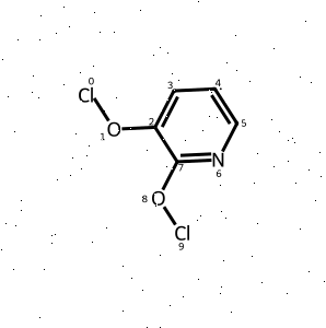 ClOc1c[c]cnc1OCl